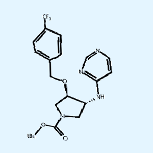 CC(C)(C)OC(=O)N1C[C@@H](Nc2ccncn2)[C@H](OCc2ccc(C(F)(F)F)cc2)C1